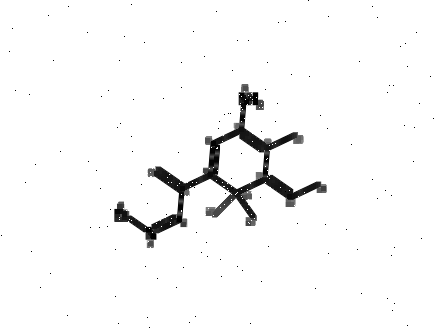 C=C(/C=N\CC)C1=CC(N)=C(C)/C(=C\C)C1(C)C